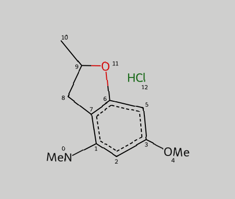 CNc1cc(OC)cc2c1CC(C)O2.Cl